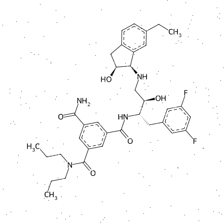 CCCN(CCC)C(=O)c1cc(C(N)=O)cc(C(=O)N[C@@H](Cc2cc(F)cc(F)c2)[C@H](O)CN[C@@H]2c3cc(CC)ccc3C[C@@H]2O)c1